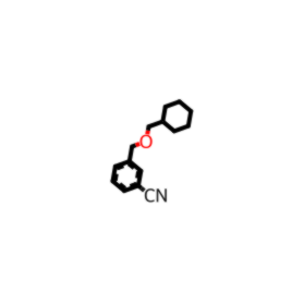 N#Cc1cccc(COCC2CCCCC2)c1